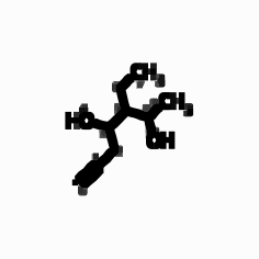 [C]#CCC(O)C(CC)C(C)O